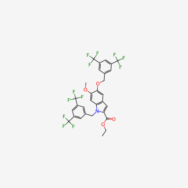 CCOC(=O)c1cc2cc(OCc3cc(C(F)(F)F)cc(C(F)(F)F)c3)c(OC)cc2n1Cc1cc(C(F)(F)F)cc(C(F)(F)F)c1